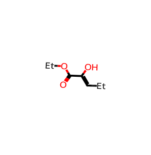 CC/C=C(\O)C(=O)OCC